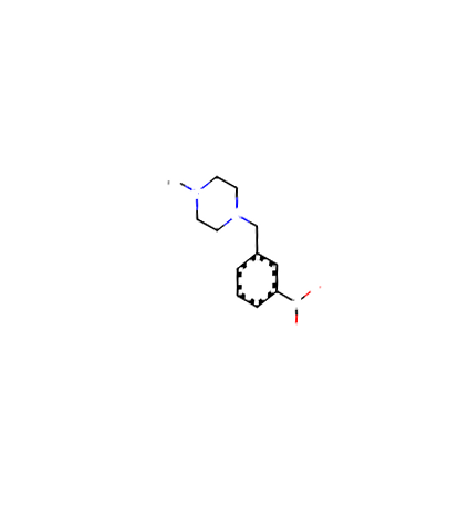 CC(C)N1CCN(Cc2cccc(B(O)O)c2)CC1